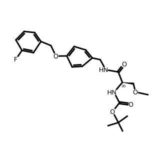 COC[C@@H](NC(=O)OC(C)(C)C)C(=O)NCc1ccc(OCc2cccc(F)c2)cc1